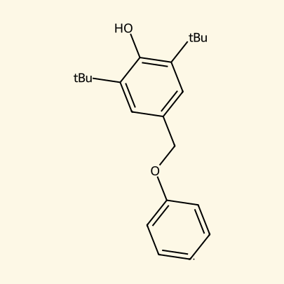 CC(C)(C)c1cc(COc2cc[c]cc2)cc(C(C)(C)C)c1O